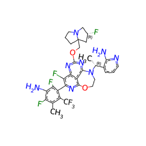 Cc1c(F)c(N)c(F)c(-c2nc3c4c(nc(OCC56CCCN5C[C@H](F)C6)nc4c2F)N([C@H](C)c2cccnc2N)CCO3)c1C(F)(F)F